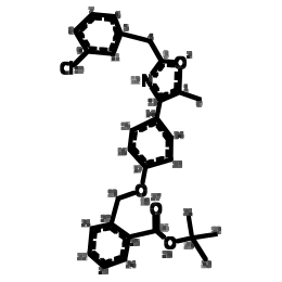 Cc1oc(Cc2cccc(Cl)c2)nc1-c1ccc(OCc2ccccc2C(=O)OC(C)(C)C)cc1